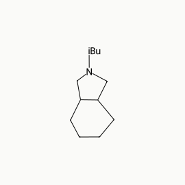 CCC(C)N1CC2CCCCC2C1